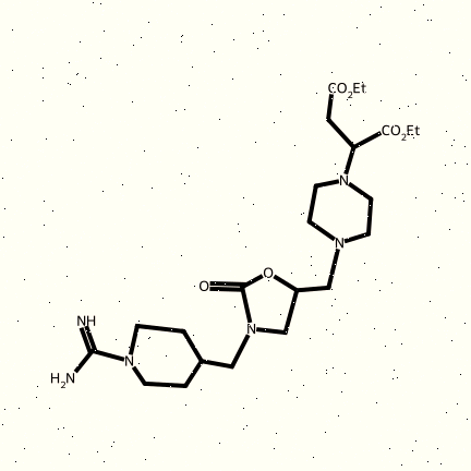 CCOC(=O)CC(C(=O)OCC)N1CCN(CC2CN(CC3CCN(C(=N)N)CC3)C(=O)O2)CC1